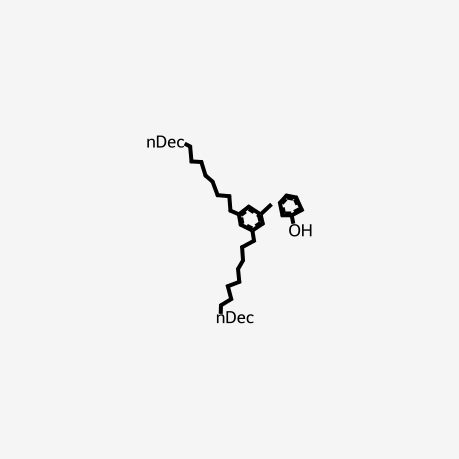 CCCCCCCCCCCCCCCCCCc1cc(C)cc(CCCCCCCCCCCCCCCCCC)c1.Oc1ccccc1